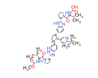 COC(=O)N[C@H](C(=O)N1CCC[C@H]1c1nc2ccc([C@H]3CC[C@H](c4ccc5nc([C@@H]6CCCN6C(=O)[C@@H](NC(=O)O)C(C)C)[nH]c5c4)N3c3ccc(C(C)(C)C)nc3)cc2[nH]1)C(C)C